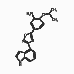 CC(C)Oc1ccc(-c2nc(-c3cccc4[nH]ccc34)no2)cc1N